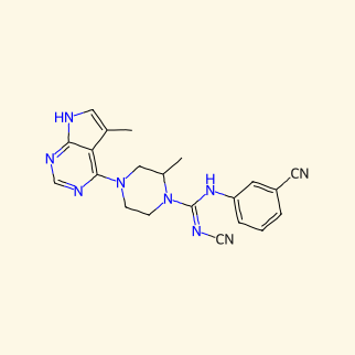 Cc1c[nH]c2ncnc(N3CCN(C(=NC#N)Nc4cccc(C#N)c4)C(C)C3)c12